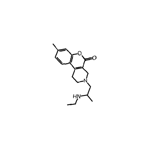 CCNC(C)CN1CCc2c(c(=O)oc3cc(C)ccc23)C1